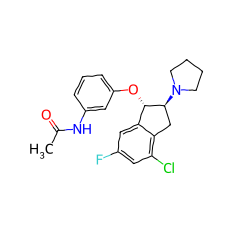 CC(=O)Nc1cccc(O[C@H]2c3cc(F)cc(Cl)c3C[C@@H]2N2CCCC2)c1